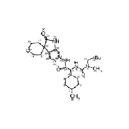 CC1CCC([C@H](NC(=O)N(C)CC(C)(C)C)C(=O)Nc2cc3c(cn2)C2(CCOCC2)C(=O)N3)CC1